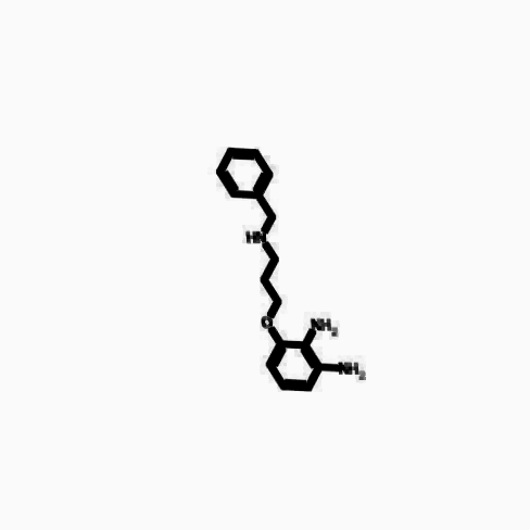 Nc1cccc(OCCCNCc2ccccc2)c1N